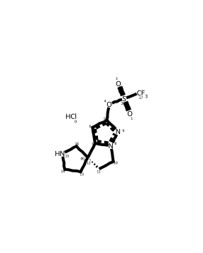 Cl.O=S(=O)(Oc1cc2n(n1)CC[C@@]21CCNC1)C(F)(F)F